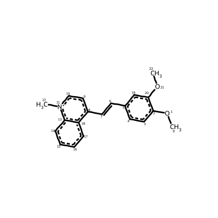 COc1ccc(C=Cc2cc[n+](C)c3ccccc23)cc1OC